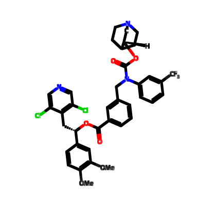 COc1ccc([C@H](Cc2c(Cl)cncc2Cl)OC(=O)c2cccc(CN(C(=O)O[C@H]3CN4CCC3CC4)c3cccc(C(F)(F)F)c3)c2)cc1OC